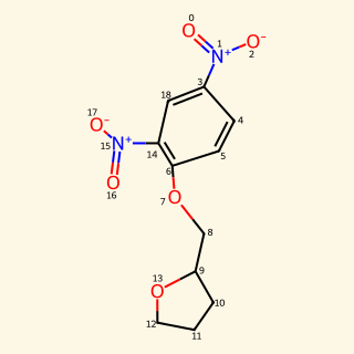 O=[N+]([O-])c1ccc(OCC2CCCO2)c([N+](=O)[O-])c1